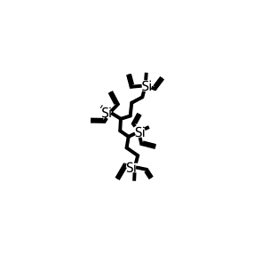 C=C[Si](C)(C=C)CCCC(CC(CC[Si](C)(C=C)C=C)[Si](C)(C=C)C=C)[Si](C)(C=C)C=C